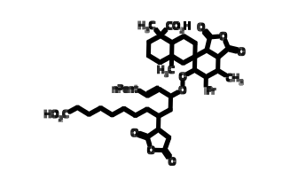 CCCCC/C=C/C(CC(CCCCCCCC(=O)O)C1CC(=O)OC1=O)OOC1C(C(C)C)C(C)C2C(=O)OC(=O)C2C12CCC1C(C)(CCCC1(C)C(=O)O)C2